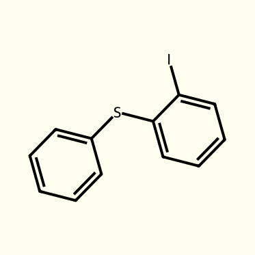 Ic1ccccc1Sc1ccccc1